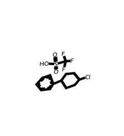 ClC1CCC(c2ccccc2)CC1.O=S(=O)(O)C(F)(F)F